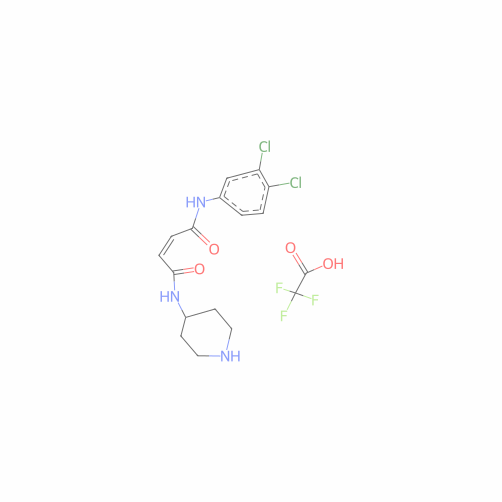 O=C(/C=C\C(=O)NC1CCNCC1)Nc1ccc(Cl)c(Cl)c1.O=C(O)C(F)(F)F